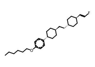 CCCCCCOc1ccc([C@H]2CC[C@H](CC[C@H]3CC[C@H](C=CF)CC3)CC2)cc1